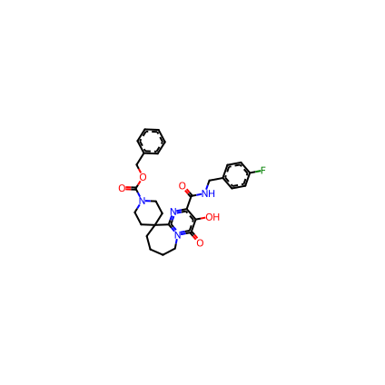 O=C(NCc1ccc(F)cc1)c1nc2n(c(=O)c1O)CCCCC21CCN(C(=O)OCc2ccccc2)CC1